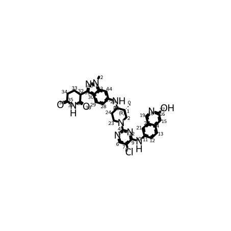 C[C@@H]1CN(c2ncc(Cl)c(Nc3ccc4cc(O)ncc4c3)n2)CC[C@H]1Nc1ccc2c(C3CCC(=O)NC3=O)nn(C)c2c1